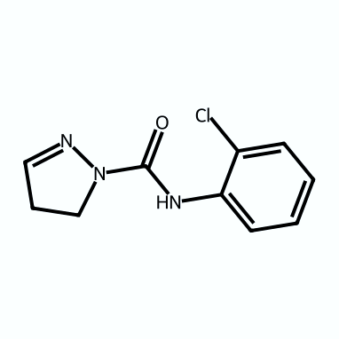 O=C(Nc1ccccc1Cl)N1CCC=N1